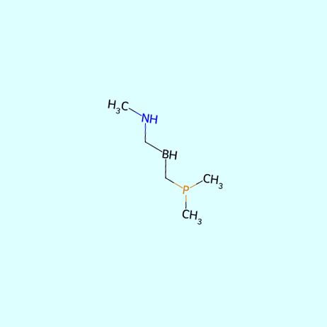 CNCBCP(C)C